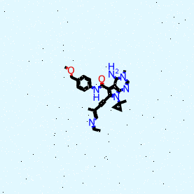 C/C=N\C=C(/C)C#Cc1c(C(=O)Nc2ccc(COC)cc2)c2c(n1C1(C)CC1)N=CN(C)C2N